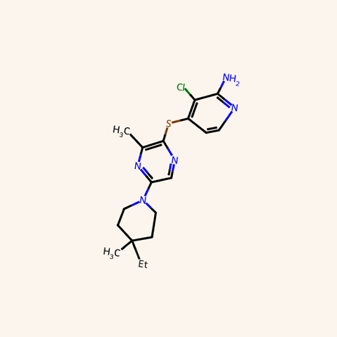 CCC1(C)CCN(c2cnc(Sc3ccnc(N)c3Cl)c(C)n2)CC1